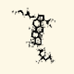 C=C(C)[C@@H]1CC[C@]2(CCC(=O)OCC)CC[C@]3(C)[C@H](CC[C@@H]4[C@@]5(C)CC[C@H](OC(=O)CC(C)(C)CC(=O)O)C(C)(C)[C@@H]5CC[C@]43C)[C@@H]12